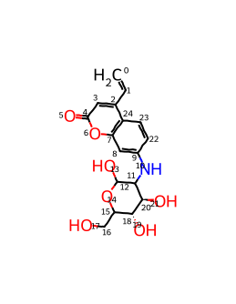 C=Cc1cc(=O)oc2cc(NC3C(O)OC(CO)[C@@H](O)[C@@H]3O)ccc12